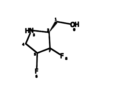 OC[C@H]1NCC(F)C1F